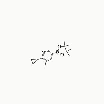 CC1(C)OB(c2cnc(C3CC3)c(I)c2)OC1(C)C